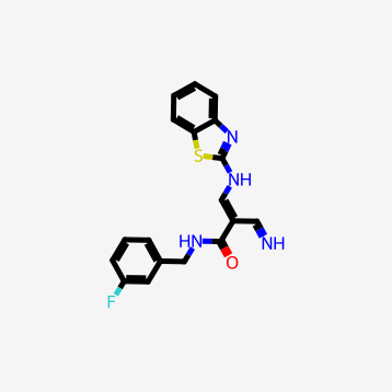 N=C/C(=C\Nc1nc2ccccc2s1)C(=O)NCc1cccc(F)c1